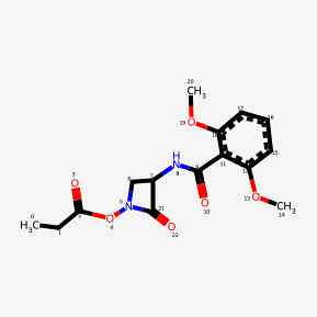 CCC(=O)ON1CC(NC(=O)c2c(OC)cccc2OC)C1=O